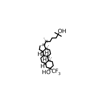 C[C@H](CCCC(C)(C)O)[C@H]1CC[C@H]2[C@@H]3CC[C@H]4C[C@](O)(C(F)(F)F)CC[C@]4(C)[C@H]3CC[C@]12C